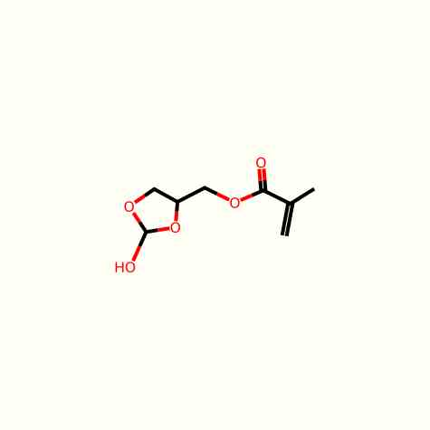 C=C(C)C(=O)OCC1COC(O)O1